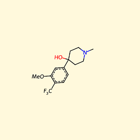 COc1cc(C2(O)CCN(C)CC2)ccc1C(F)(F)F